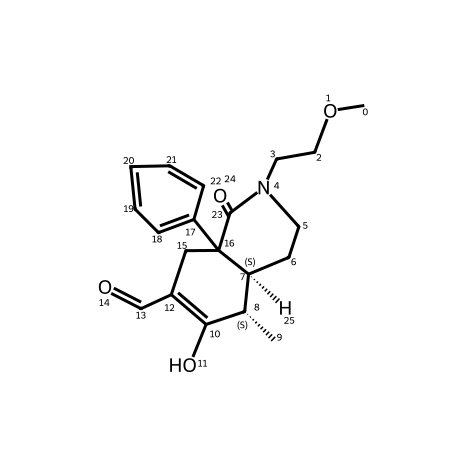 COCCN1CC[C@H]2[C@H](C)C(O)=C(C=O)CC2(c2ccccc2)C1=O